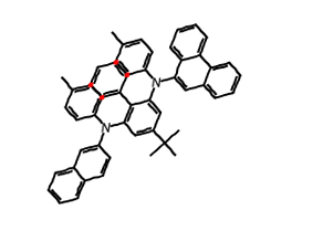 Cc1ccc(N(c2ccc3ccccc3c2)c2cc(C(C)(C)C)cc(N(c3ccc(C)cc3)c3cc4ccccc4c4ccccc34)c2-c2ccccc2)cc1